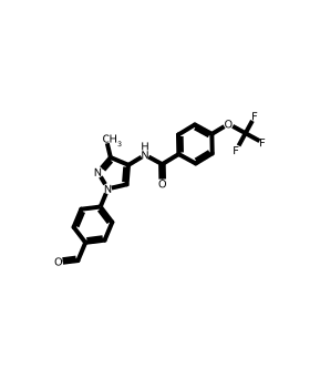 Cc1nn(-c2ccc(C=O)cc2)cc1NC(=O)c1ccc(OC(F)(F)F)cc1